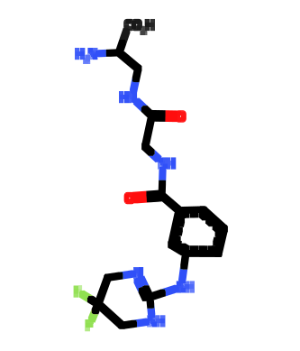 NC(CNC(=O)CNC(=O)c1cccc(NC2=NCC(F)(F)CN2)c1)C(=O)O